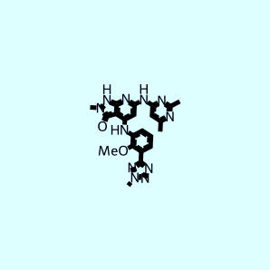 COc1c(Nc2cc(Nc3cc(C)nc(C)n3)nc3[nH]n(C)c(=O)c23)cccc1-c1nnn(C)n1